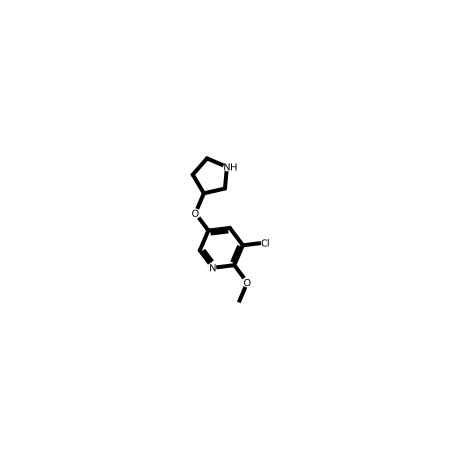 COc1ncc(OC2CCNC2)cc1Cl